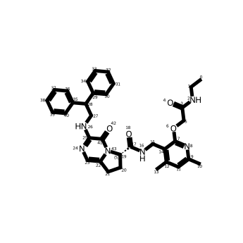 CCNC(=O)COc1nc(C)cc(C)c1CNC(=O)[C@@H]1CCc2cnc(NCC(c3ccccc3)c3ccccc3)c(=O)n21